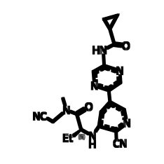 CC[C@H](Nc1cc(-c2cnc(NC(=O)C3CC3)cn2)cnc1C#N)C(=O)N(C)CC#N